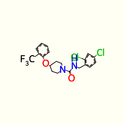 O=C(NCc1ccc(Cl)cc1Cl)N1CCC(Oc2ccccc2C(F)(F)F)CC1